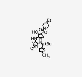 CCN1CCN(S(=O)(=O)c2scc(Nc3n[s+]([O-])nc3N[C@@H](c3ccc(C)s3)C(C)(C)C)c2O)CC1